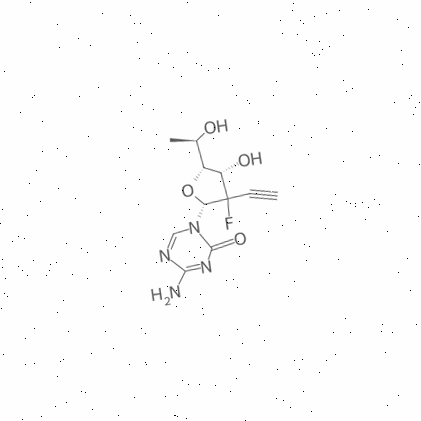 C#CC1(F)[C@@H](O)[C@@H]([C@@H](C)O)O[C@H]1n1cnc(N)nc1=O